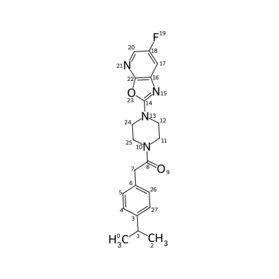 CC(C)c1ccc(CC(=O)N2CCN(c3nc4cc(F)cnc4o3)CC2)cc1